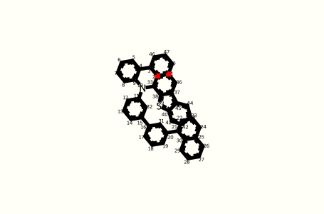 c1ccc(-c2ccccc2N(c2cccc(-c3cccc(-c4cccc5ccccc45)c3)c2)c2cccc3c2sc2ccccc23)cc1